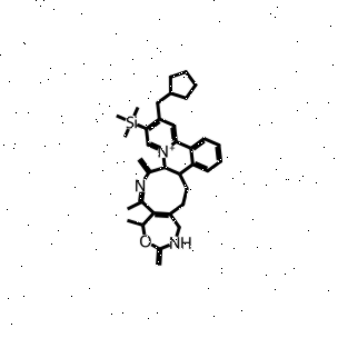 C=C1NCC2=C(/C(C)=N\C(=C)C3C(CC2)c2ccccc2-c2cc(CC4CCCC4)c([Si](C)(C)C)c[n+]23)C(C)O1